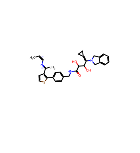 C/C=C\N=C(/C)c1ccsc1-c1ccc(CNC(=O)C(O)C(O)C(=C2CC2)N2Cc3ccccc3C2)cc1